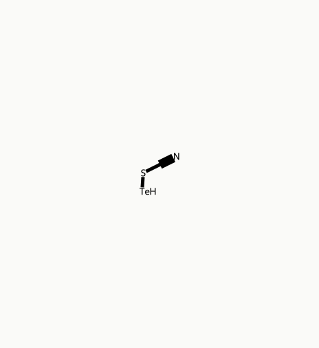 N#CS[TeH]